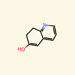 OC1=Cc2cccnc2CC1